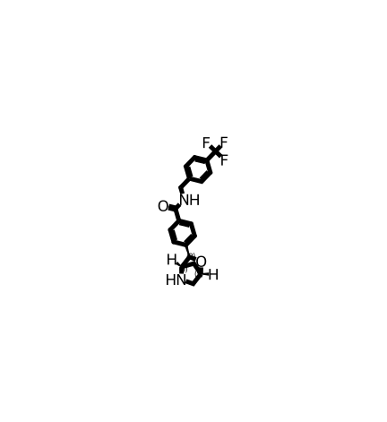 O=C(NCc1ccc(C(F)(F)F)cc1)c1ccc([C@H]2O[C@@H]3CN[C@H]2C3)cc1